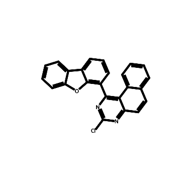 Clc1nc(-c2cccc3c2oc2ccccc23)c2c(ccc3ccccc32)n1